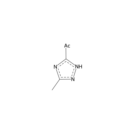 CC(=O)c1nc(C)n[nH]1